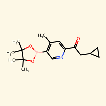 Cc1cc(C(=O)CC2CC2)ncc1B1OC(C)(C)C(C)(C)O1